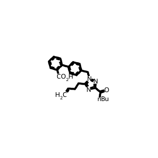 C=CCCc1nc(C(=O)CCCC)nn1Cc1ccc(-c2ccccc2C(=O)O)cc1